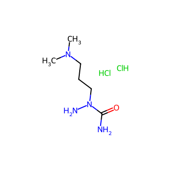 CN(C)CCCN(N)C(N)=O.Cl.Cl